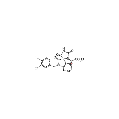 CCOC(=O)C(=O)N1C(=O)NC(=O)C12C(=O)N(Cc1ccc(Cl)c(Cl)c1)c1ccccc12